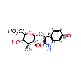 O=C(O)[C@H]1O[C@@H](Oc2c[nH]c3cc(Br)ccc23)[C@H](O)[C@@H](O)[C@@H]1O